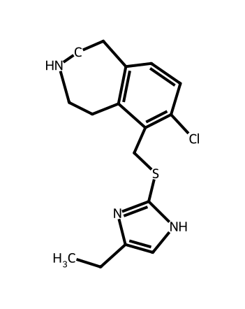 CCc1c[nH]c(SCc2c(Cl)ccc3c2CCNCC3)n1